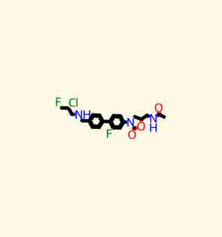 CC(=O)NCC1CN(c2ccc(-c3ccc(CNCC(Cl)CF)cc3)c(F)c2)C(=O)O1